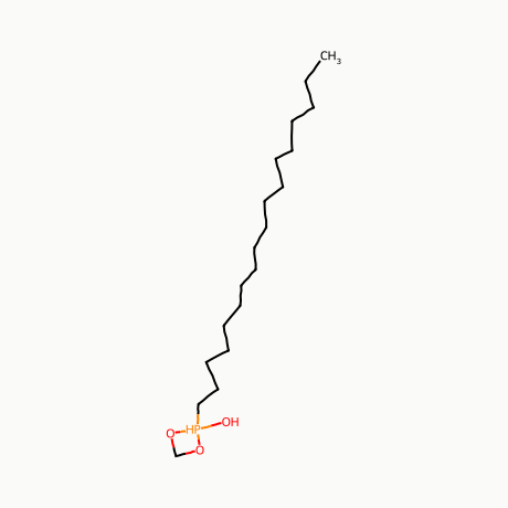 CCCCCCCCCCCCCCCCCC[PH]1(O)OCO1